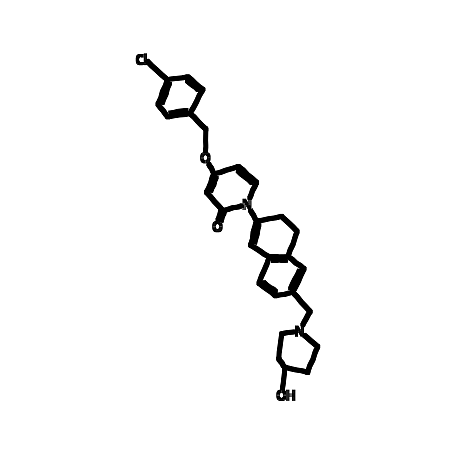 O=c1cc(OCc2ccc(Cl)cc2)ccn1C1=Cc2ccc(CN3CCC(O)CC3)cc2CC1